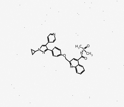 CS(C)(=O)=NC(=O)c1cc(COc2ccc(-c3nn(C4CC4)cc3-c3ccncc3)cc2)nc2ccccc12